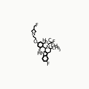 CC1Cc2c([nH]c3ccc(F)cc23)C(c2c(F)cc(OCCN3CC(CF)C3)cc2F)N1CC(C)(C)F